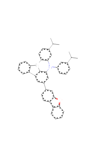 CC(C)c1cccc(N2c3cc(C(C)C)ccc3B3c4ccccc4-c4cc(-c5ccc6c(c5)oc5ccccc56)cc2c43)c1